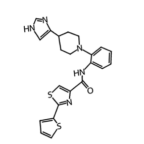 O=C(Nc1ccccc1N1CCC(c2c[nH]cn2)CC1)c1csc(-c2cccs2)n1